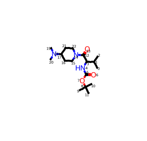 CC(C)C(NC(=O)OC(C)(C)C)C(=O)N1CCC(N(C)C)CC1